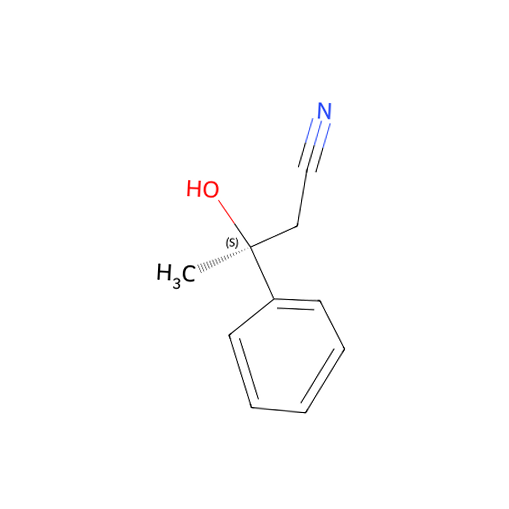 C[C@](O)(CC#N)c1ccccc1